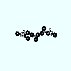 O=c1nc(-c2ccccc2)nc2ccc(-n3c4ccccc4c4cc(-c5ccc6c(c5)c5ccccc5n6-c5ccc(-c6cccc(-c7c(-c8ccccc8)oc8nc(-c9ccccc9)nc(=O)n78)c6)cc5)ccc43)cn12